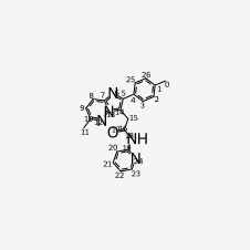 Cc1ccc(-c2nc3ccc(C)nn3c2CC(=O)Nc2ccccn2)cc1